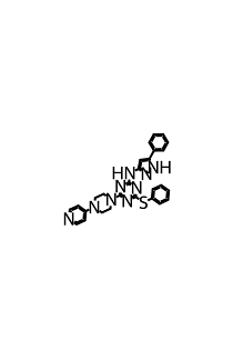 c1ccc(Sc2nc(Nc3cc(-c4ccccc4)[nH]n3)nc(N3CCN(c4ccncc4)CC3)n2)cc1